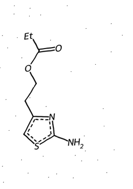 CCC(=O)OCCc1csc(N)n1